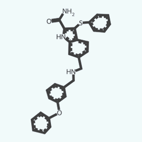 NC(=O)c1[nH]c2cc(CNCc3cccc(Oc4ccccc4)c3)ccc2c1Sc1ccccc1